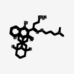 CC[C@@H]1C[C@H]2CC(N3[C@@H]4CCC[C@H]3CC(n3c(=O)c(/C(CCC(=O)O)=N/OCCCN(C)C)nc5ccccc53)C4)C[C@@H](C1)C2